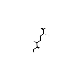 NC(CC[C@H](N)C(=O)O)C(=O)CBr